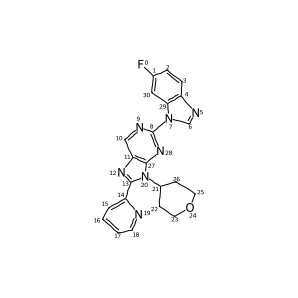 Fc1ccc2ncn(-c3ncc4nc(-c5ccccn5)n(C5CCOCC5)c4n3)c2c1